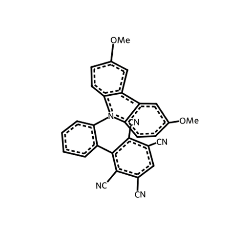 COc1ccc2c(c1)c1cc(OC)ccc1n2-c1ccccc1-c1c(C#N)c(C#N)cc(C#N)c1C#N